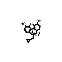 CC[C@@]12CCC(O)C3Oc4c(O)ccc5c4[C@@]31CCN(CC1CC1)[C@@H]2C5